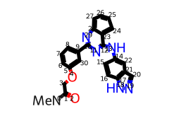 CNC(=O)COc1cccc(-c2nc(Nc3ccc4[nH]ncc4c3)c3ccccc3n2)c1